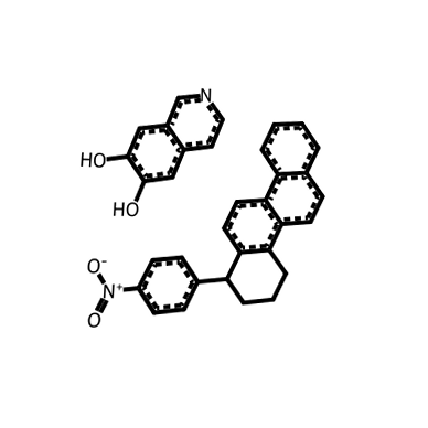 O=[N+]([O-])c1ccc(C2CCCc3c2ccc2c3ccc3ccccc32)cc1.Oc1cc2ccncc2cc1O